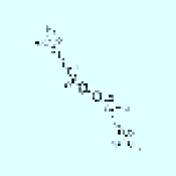 C=C(C)C(=O)OCCCCC(O)COC(=O)c1ccc(-c2ccc(C(=O)OC(CO)CCCCOC(=O)C(=C)C)cc2)cc1